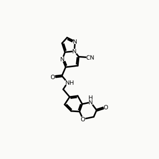 N#Cc1cc(C(=O)NCc2ccc3c(c2)NC(=O)CO3)nc2ccnn12